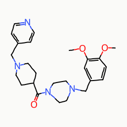 COc1ccc(CN2CCN(C(=O)C3CCN(Cc4ccncc4)CC3)CC2)cc1OC